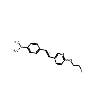 CN(C)c1ccc(/C=C/c2ccc(OCCF)nc2)cc1